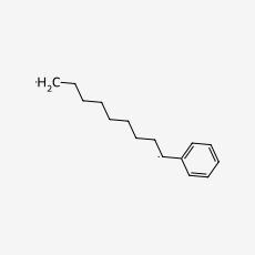 [CH2]CCCCCCC[CH]c1ccccc1